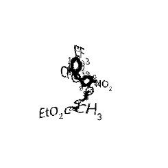 CCOC(=O)C(C)SCCOc1cc(Oc2ccc(C(F)(F)F)cc2Cl)ccc1[N+](=O)[O-]